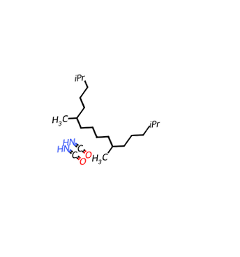 CC(C)CCCC(C)CCCCC(C)CCCC(C)C.N=C=O.N=C=O